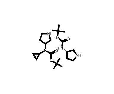 CC(C)(C)OC(=O)N(C1CC1)[C@H]1CCNC1.CC(C)(C)OC(=O)N[C@H]1CCNC1